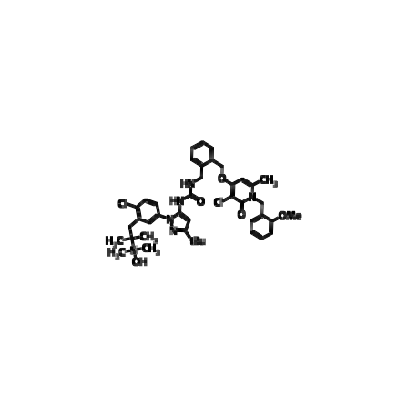 COc1ccccc1Cn1c(C)cc(OCc2ccccc2CNC(=O)Nc2cc(C(C)(C)C)nn2-c2ccc(Cl)c(CC(C)(C)[Si](C)(C)O)c2)c(Cl)c1=O